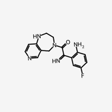 N=C(C(=O)N1CCNc2ccncc2C1)c1cc(F)ccc1N